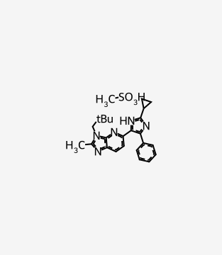 CS(=O)(=O)O.Cc1nc2ccc(-c3[nH]c(C4CC4)nc3-c3ccccc3)nc2n1CC(C)(C)C